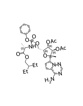 CCC(CC)COC(=O)[C@H](C)NP(=O)(OC[C@H]1O[C@@](C)(c2ccc3c(N)ncnn23)[C@H](OC(C)=O)[C@@H]1OC(C)=O)Oc1ccccc1